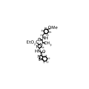 CCOC(=O)c1nc(NC(=O)c2nsc3ccccc23)cn1C(C)C(=O)NCc1ccc(OC)cc1